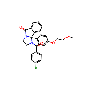 COCCOc1ccc(C23c4ccccc4C(=O)N2CCN3C(=O)c2ccc(F)cc2)cc1